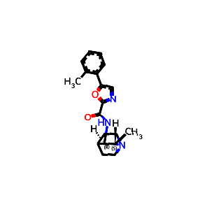 Cc1ccccc1-c1cnc(C(=O)N[C@@H]2C3CCN(CC3)[C@H]2C)o1